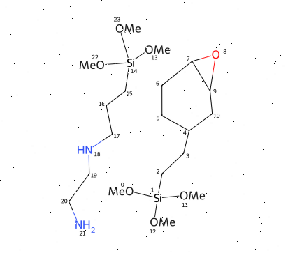 CO[Si](CCC1CCC2OC2C1)(OC)OC.CO[Si](CCCNCCN)(OC)OC